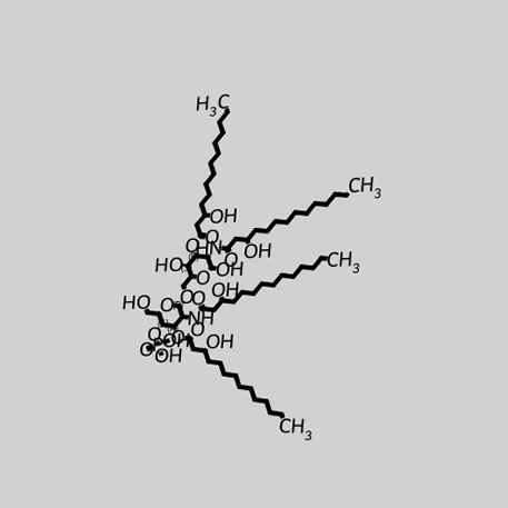 CCCCCCCCCCCC(O)CC(=O)NC1C(O)OC(CO[C@@H]2OC(CO)[C@@H](OP(=O)(O)O)[C@H](OC(=O)CC(O)CCCCCCCCCCC)C2NC(=O)CC(O)CCCCCCCCCCC)[C@@H](O)[C@@H]1OC(=O)CC(O)CCCCCCCCCCC